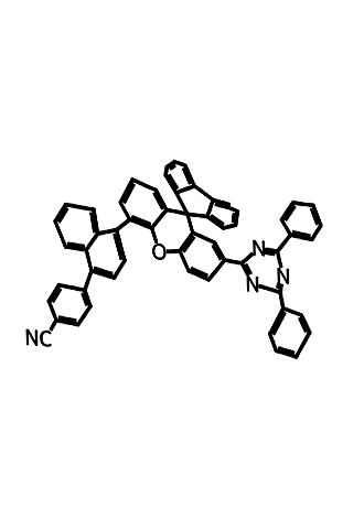 N#Cc1ccc(-c2ccc(-c3cccc4c3Oc3ccc(-c5nc(-c6ccccc6)nc(-c6ccccc6)n5)cc3C43c4ccccc4-c4ccccc43)c3ccccc23)cc1